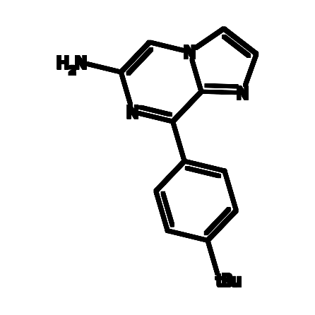 CC(C)(C)c1ccc(-c2nc(N)cn3ccnc23)cc1